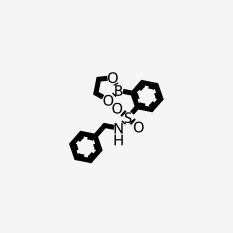 O=S(=O)(NCc1ccccc1)c1ccccc1B1OCCO1